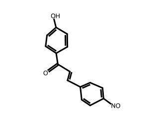 O=Nc1ccc(/C=C/C(=O)c2ccc(O)cc2)cc1